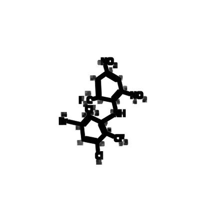 O=[N+]([O-])c1cc([N+](=O)[O-])c(Nc2c(C(F)(F)F)c(Cl)cc(Br)c2C(F)(F)F)c(C(F)(F)F)c1